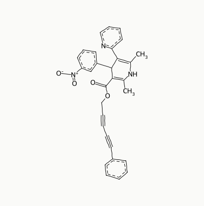 CC1=C(C(=O)OCC#CC#Cc2ccccc2)C(c2cccc([N+](=O)[O-])c2)C(c2ccccn2)=C(C)N1